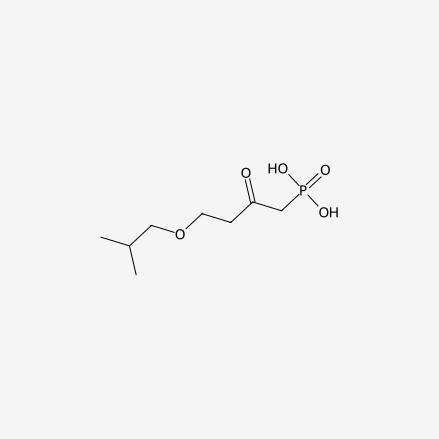 CC(C)COCCC(=O)CP(=O)(O)O